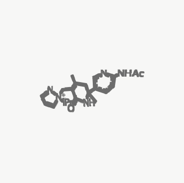 CC(=O)Nc1ccc(C2(C)CC(C)=C(C[N+]3(C(C)C)C=CC=N3)C(=O)N2)cn1